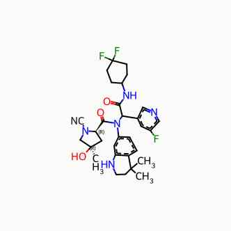 CC1(C)CCNc2cc(N(C(=O)[C@H]3C[C@@](C)(O)CN3C#N)C(C(=O)NC3CCC(F)(F)CC3)c3cncc(F)c3)ccc21